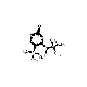 C[Si](C)(C)c1c[nH]c(=O)nc1N(F)[Si](C)(C)C